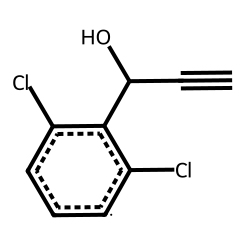 C#CC(O)c1c(Cl)[c]ccc1Cl